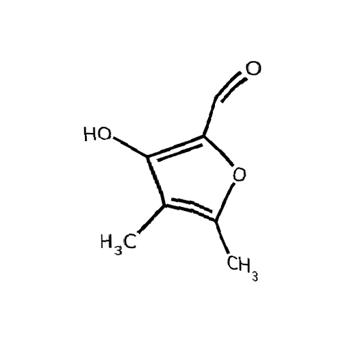 Cc1oc(C=O)c(O)c1C